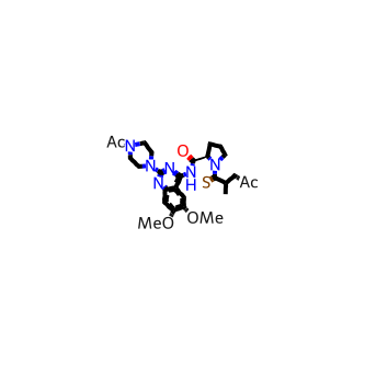 COc1cc2nc(N3CCN(C(C)=O)CC3)nc(NC(=O)[C@H]3CCCN3C(=S)C(C)CC(C)=O)c2cc1OC